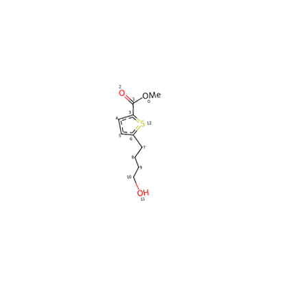 COC(=O)c1ccc(CCCCO)s1